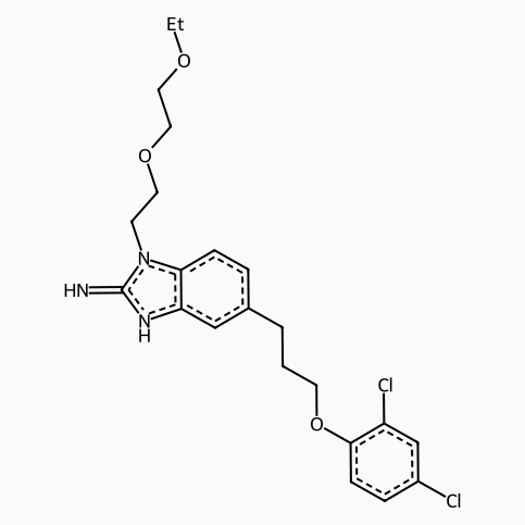 CCOCCOCCn1c(=N)[nH]c2cc(CCCOc3ccc(Cl)cc3Cl)ccc21